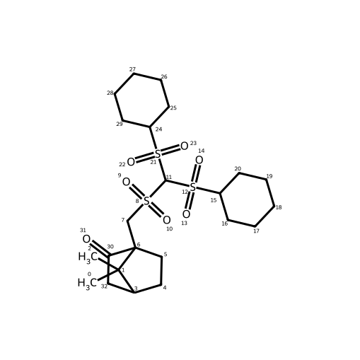 CC1(C)C2CCC1(CS(=O)(=O)C(S(=O)(=O)C1CCCCC1)S(=O)(=O)C1CCCCC1)C(=O)C2